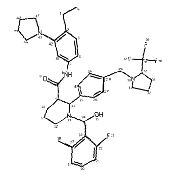 CCc1ccc(NC(=O)C2CCCN(C(O)c3c(C)cccc3F)C2c2ccc(CN3CCCC3C(F)(F)F)cc2)cc1N1CCCC1